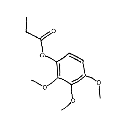 CCC(=O)Oc1ccc(OC)c(OC)c1OC